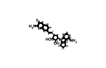 Nc1nc2cc(/C=C/[C@H]3C[C@@H](n4c5c(c6c(N)ncnc64)CCC5)[C@H](O)[C@@H]3O)ccc2cc1F